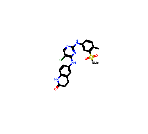 CNS(=O)(=O)c1cc(Nc2ncc(Cl)c(Nc3ccc4c(c3)CCC(=O)N4)n2)ccc1C